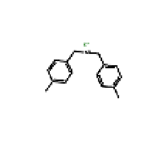 Cc1ccc([CH2][Al+][CH2]c2ccc(C)cc2)cc1.[Cl-]